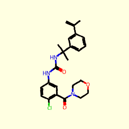 C=C(C)c1cccc(C(C)(C)NC(=O)Nc2ccc(Cl)c(C(=O)N3CCOCC3)c2)c1